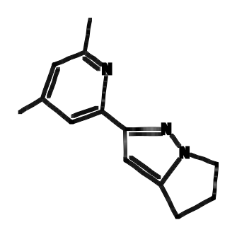 Cc1cc(C)nc(-c2cc3n(n2)CCC3)c1